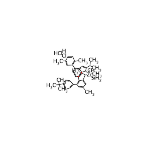 CC1=Cc2c(-c3ccc(C(C)(C)C)cc3)cc(C)cc2[CH]1[Zr]([CH3])([CH3])(=[SiH2])[CH]1C(C(C)C)=Cc2c(-c3cc(C)ccc3C)cccc21.Cl.Cl